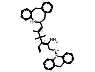 C=C/C(=C(/N)CNN1c2ccccc2Cc2ccccc21)C(C)(C)/C(C)=C/C1Cc2ccccc2Cc2ccccc2N1